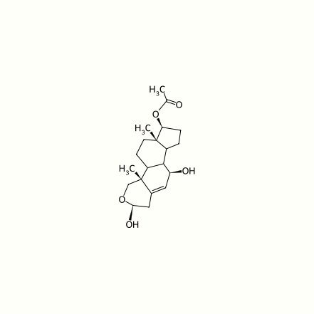 CC(=O)O[C@H]1CCC2C3C(CC[C@@]21C)[C@@]1(C)CO[C@H](O)CC1=C[C@@H]3O